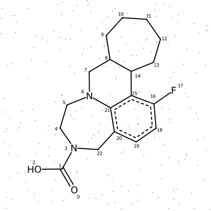 O=C(O)N1CCN2CC3CCCCCC3c3c(F)ccc(c32)C1